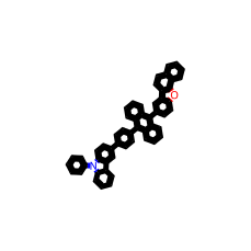 C1=CC2c3cc(-c4ccc(-c5c6ccccc6c(-c6ccc7oc8c9ccccc9ccc8c7c6)c6ccccc56)cc4)ccc3N(c3ccccc3)C2C=C1